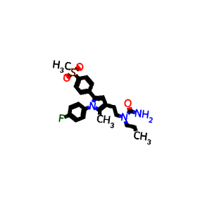 CCCN(CCc1cc(-c2ccc(S(C)(=O)=O)cc2)n(-c2ccc(F)cc2)c1C)C(N)=O